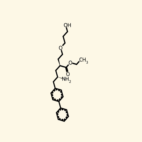 CCOC(=O)[C@H](CCOCCCO)C[C@H](N)Cc1ccc(-c2ccccc2)cc1